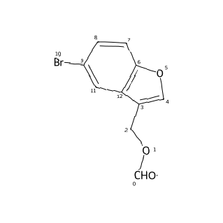 O=[C]OCc1coc2ccc(Br)cc12